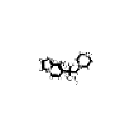 CC(C)(CN1CCOCC1)c1ccn2ccnc2c1